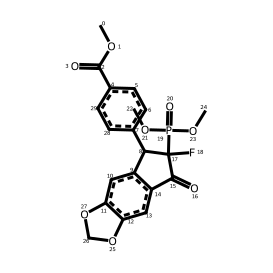 COC(=O)c1ccc(C2c3cc4c(cc3C(=O)C2(F)P(=O)(OC)OC)OCO4)cc1